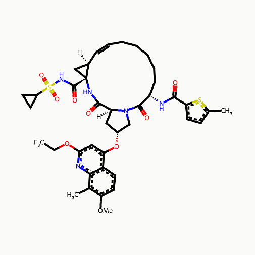 COc1ccc2c(O[C@@H]3C[C@H]4C(=O)N[C@]5(C(=O)NS(=O)(=O)C6CC6)C[C@H]5C=CCCCCC[C@H](NC(=O)c5ccc(C)s5)C(=O)N4C3)cc(OCC(F)(F)F)nc2c1C